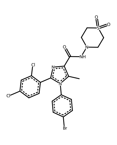 Cc1c(C(=O)NN2CCS(=O)(=O)CC2)nc(-c2ccc(Cl)cc2Cl)n1-c1ccc(Br)cc1